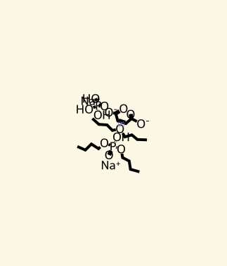 CCCCOCCCC.CCCCOP(=O)(O)OCCCC.O=C([O-])/C=C\C(=O)[O-].O=P(O)(O)O.[Na+].[Na+]